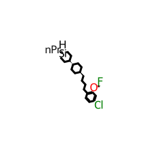 CCC[SiH]1CCC([C@H]2CC[C@H](CCCCc3ccc(Cl)cc3OCF)CC2)CC1